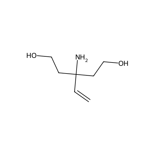 C=CC(N)(CCO)CCO